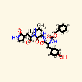 CC(C)C[C@H](NC(=O)C(Cc1ccc(O)cc1)NC(=O)OCc1ccccc1)C(=O)NC(C=O)CC1CCNC1=O